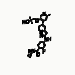 Cc1cc(-c2ccn3nc(Nc4ccc(C(=O)NC5CC5)c(F)c4)cc3c2)c(OCC(C)(C)O)cn1